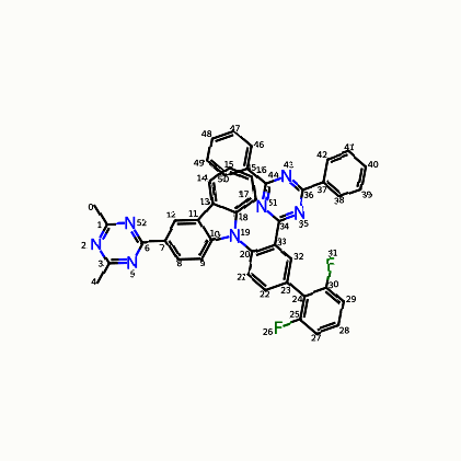 Cc1nc(C)nc(-c2ccc3c(c2)c2ccccc2n3-c2ccc(-c3c(F)cccc3F)cc2-c2nc(-c3ccccc3)nc(-c3ccccc3)n2)n1